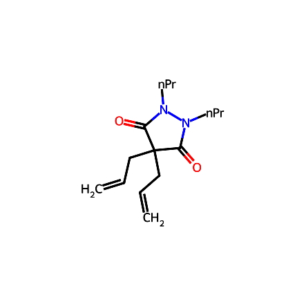 C=CCC1(CC=C)C(=O)N(CCC)N(CCC)C1=O